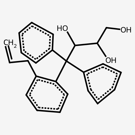 C=CCc1ccccc1C(c1ccccc1)(c1ccccc1)C(O)C(O)CO